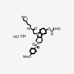 COc1ccc(S(=O)(=O)N2CCc3c(n(CC(=O)NCCCCN)c4ccc(ONC=O)cc34)C2)cc1.Cl.Cl